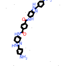 Nc1ccc(-c2nc3cc(NC(=O)c4ccc(C(=O)Nc5ccc6[nH]c(-c7ccc(N)cc7)nc6c5)cc4)ccc3[nH]2)cc1